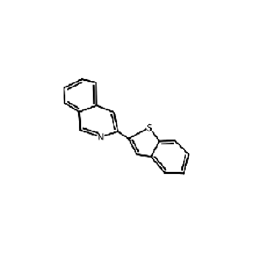 c1ccc2cc(-c3cc4ccccc4s3)ncc2c1